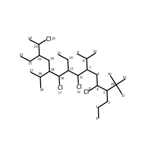 CCCC(C(Cl)CC(C(C)C)C(Cl)C(CC)C(Cl)C(CC(CC)C(C)Cl)C(C)C)C(C)(C)C